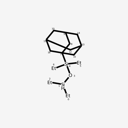 CC[SiH](CC)O[Si](CC)(CC)C12CC3CC(CC(C3)C1)C2